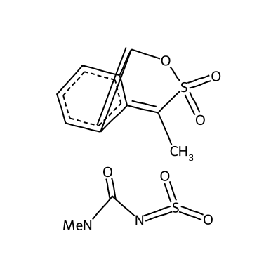 CC1=c2c3cccc2=C3OS1(=O)=O.CNC(=O)N=S(=O)=O